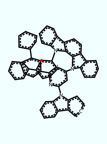 c1ccc(-c2cccc(-c3nc(-n4c5ccccc5c5ccccc54)cc(-n4c5ccccc5c5ccc6c7ccccc7n(-c7cccc(-c8ccccc8)c7)c6c54)n3)c2)cc1